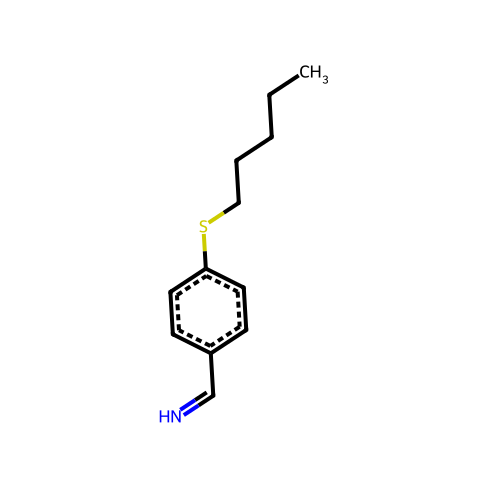 CCCCCSc1ccc(C=N)cc1